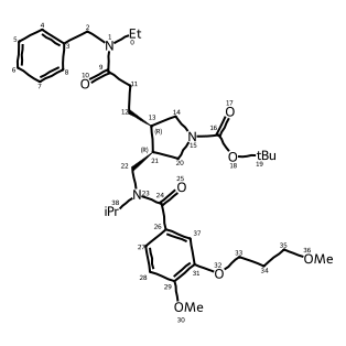 CCN(Cc1ccccc1)C(=O)CC[C@H]1CN(C(=O)OC(C)(C)C)C[C@H]1CN(C(=O)c1ccc(OC)c(OCCCOC)c1)C(C)C